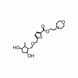 CC1C(O)CC(O)[C@@H]1COCc1ccc(C(=O)OCCN2CCOCC2)s1